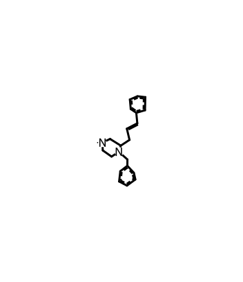 C(=Cc1ccccc1)CC1C[N]CCN1Cc1ccccc1